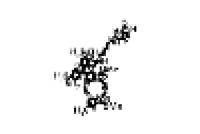 CCCC(CC1SCC2NC(=O)NC21)ONCCCCCNC(=O)COc1cc2c(cc1-c1c3ccc(=[N+](C)C)cc-3oc3cc(N(C)C)ccc13)OCCOc1cc(C)ccc1N(CC(=O)OC)CCOCCN2CC(=O)OC